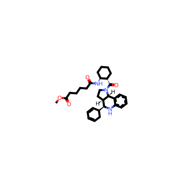 COC(=O)CCCCC(=O)N[C@@H]1CCCC[C@@H]1C(=O)N1CC[C@@H]2[C@H](C3C=CC=CC3)Nc3ccccc3[C@@H]21